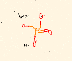 O=P([O-])([O-])[O-].[H+].[V+3]